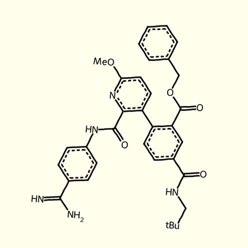 COc1ccc(-c2ccc(C(=O)NCC(C)(C)C)cc2C(=O)OCc2ccccc2)c(C(=O)Nc2ccc(C(=N)N)cc2)n1